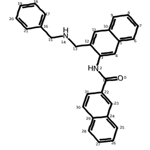 O=C(Nc1cc2ccccc2cc1CNCc1ccccc1)c1[c]c2ccccc2cc1